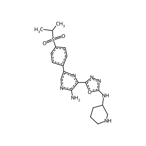 CC(C)S(=O)(=O)c1ccc(-c2cnc(N)c(-c3nnc(NC4CCCNC4)o3)n2)cc1